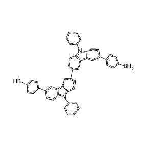 Bc1ccc(-c2ccc3c(c2)c2cc(-c4ccc5c(c4)c4cc(-c6ccc(BC)cc6)ccc4n5-c4ccccc4)ccc2n3-c2ccccc2)cc1